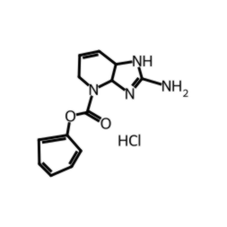 Cl.NC1=NC2C(C=CCN2C(=O)Oc2ccccc2)N1